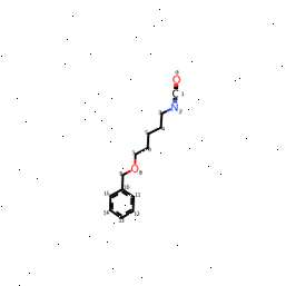 O=C=NCCCCCOCc1ccccc1